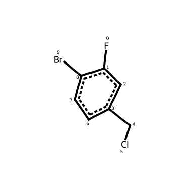 Fc1cc(CCl)ccc1Br